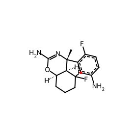 C[C@]1(c2cc(N)ccc2F)N=C(N)O[C@@H]2CCCC(F)(F)[C@@H]21